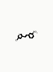 O=[N+]([O-])c1cccc(/C=C/c2cncc(Cl)c2)c1